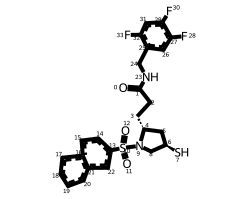 O=C(CC[C@@H]1C[C@@H](S)CN1S(=O)(=O)c1ccc2ccccc2c1)NCc1cc(F)c(F)cc1F